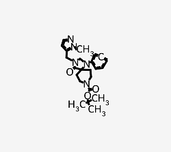 Cn1nccc1CN1CN(c2ccccc2)C2(CCN(C(=O)OC(C)(C)C)CC2)C1=O